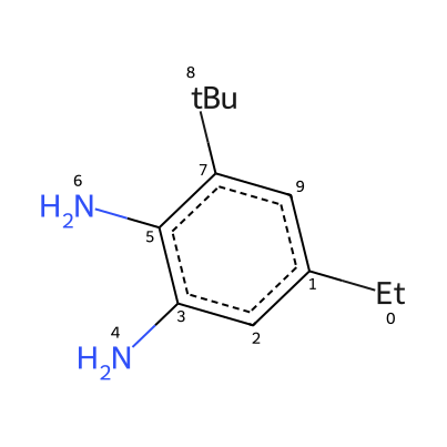 CCc1cc(N)c(N)c(C(C)(C)C)c1